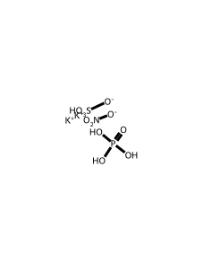 O=P(O)(O)O.O=S(=O)([O-])O.O=[N+]([O-])[O-].[K+].[K+]